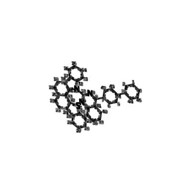 c1ccc(-c2ccc(-c3nc(-n4c5ccccc5c5ccc6ccc7c8ccccc8sc7c6c54)nc4ccccc34)cc2)cc1